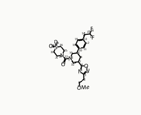 COCCc1noc(C2CC(c3ccc(CC(F)F)cc3)CN(C(=O)N3CCS(=O)(=O)CC3)C2)n1